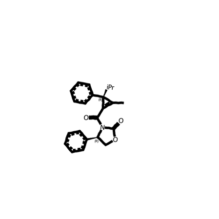 CC1=C(C(=O)N2C(=O)OC[C@H]2c2ccccc2)[C@@]1(c1ccccc1)C(C)C